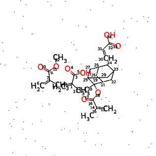 C=C(C)C(=O)O.C=C(C)C(=O)OC.C=C(C)C(=O)OC1(C)C2CC3CC(C2)CC1C3.C=CC(=O)O